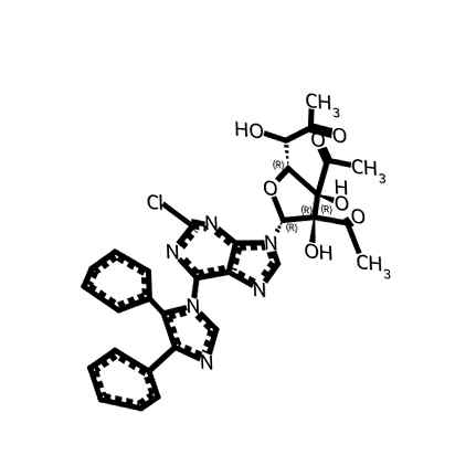 CC(=O)C(O)[C@H]1O[C@@H](n2cnc3c(-n4cnc(-c5ccccc5)c4-c4ccccc4)nc(Cl)nc32)[C@@](O)(C(C)=O)[C@@]1(O)C(C)=O